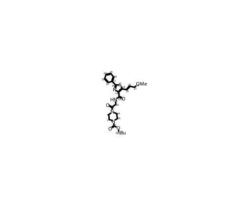 CCCCOC(=O)N1CCN(C(=O)CNC(=O)c2nc(-c3ccccc3)sc2C=CCOC)CC1